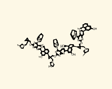 C#Cc1cccc2cc(O)cc(-c3cnc4c(N5CC6CCC(C5)N6)nc(OCC5(CN6CC[C@@H](F)C6)CC5c5ccc(C#C)c6c(-c7ccc8c(N9CC%10CCC(C9)N%10)nc(OCC9(CN%10CC[C@@H](F)C%10)CC9c9ccc(C#C)c%10c(-c%11ncc%12c(N%13CC%14CCC(C%13)N%14)nc(OCC%13(CN%14CC[C@@H](F)C%14)CC%13)nc%12n%11)cc(O)cc9%10)nc8n7)cc(O)cc56)nc4c3)c12